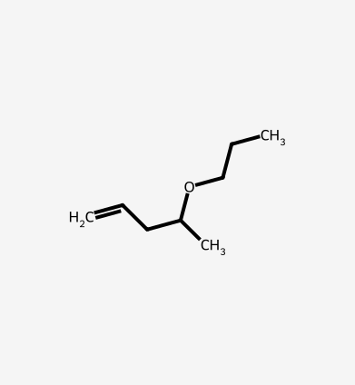 C=CCC(C)OCCC